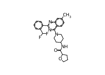 Cc1ccc2c(N3CCC(NC(=O)C4CCCO4)CC3)nc(-c3ccccc3C(F)F)nc2c1